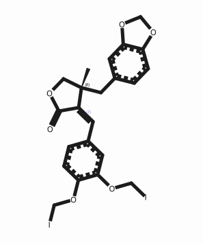 C[C@]1(Cc2ccc3c(c2)OCO3)COC(=O)/C1=C\c1ccc(OCI)c(OCI)c1